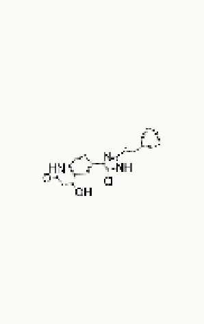 O=c1cc(O)c2cc(-c3nc([CH]Cc4ccccc4)[nH]c3Cl)ccc2[nH]1